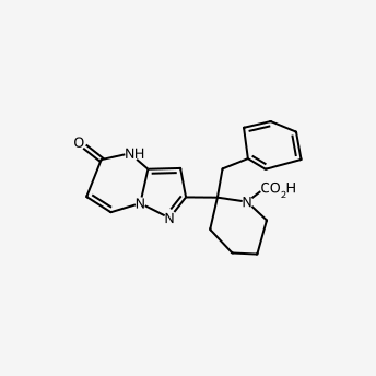 O=C(O)N1CCCCC1(Cc1ccccc1)c1cc2[nH]c(=O)ccn2n1